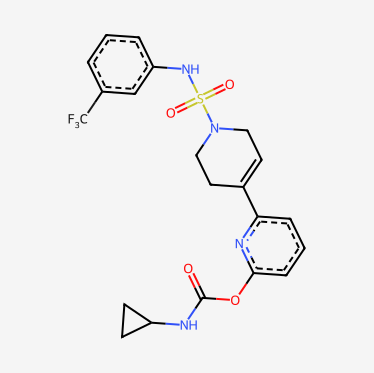 O=C(NC1CC1)Oc1cccc(C2=CCN(S(=O)(=O)Nc3cccc(C(F)(F)F)c3)CC2)n1